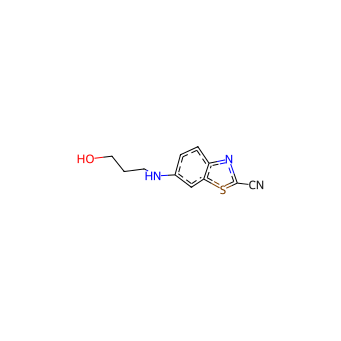 N#Cc1nc2ccc(NCCCO)cc2s1